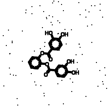 O=C(Oc1ccccc1OC(=O)c1ccc(O)c(O)c1)c1ccc(O)c(O)c1